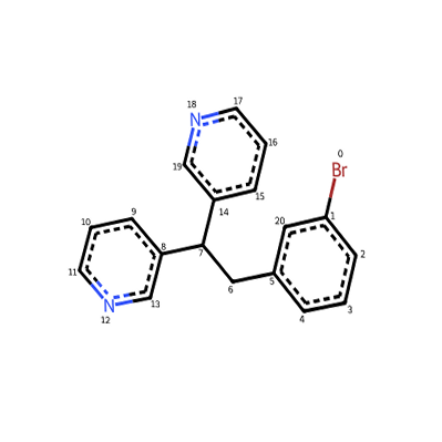 Brc1cccc(CC(c2cccnc2)c2cccnc2)c1